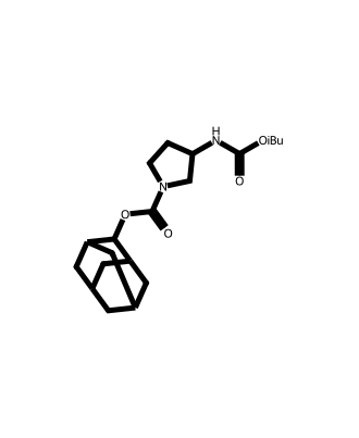 CC(C)COC(=O)NC1CCN(C(=O)OC2C3CC4CC(C3)CC2C4)C1